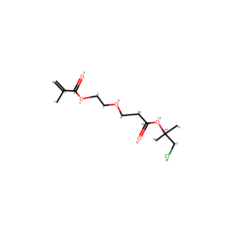 C=C(C)C(=O)OCCOCCC(=O)OC(C)(C)CCl